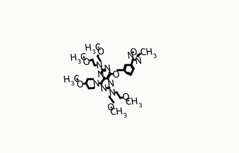 COCCN(CCOC)c1nc(N2CCC(OC)CC2)c2nc(N(CCOC)CCOC)nc(OCc3cccc(-c4noc(C)n4)c3)c2n1